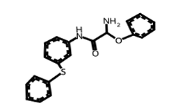 NC(Oc1ccccc1)C(=O)Nc1cccc(Sc2ccccc2)c1